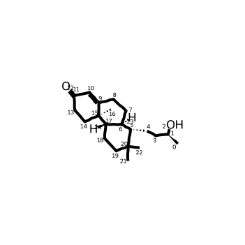 C[C@H](O)CC[C@H]1[C@@H]2CCC3=CC(=O)CC[C@]3(C)[C@H]2CCC1(C)C